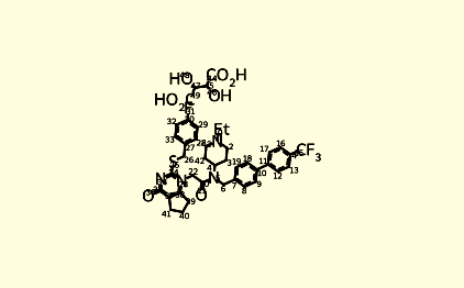 CCN1CCC(N(Cc2ccc(-c3ccc(C(F)(F)F)cc3)cc2)C(=O)Cn2c(SCc3ccc(F)cc3)nc(=O)c3c2CCC3)CC1.O=C(O)C(O)C(O)C(=O)O